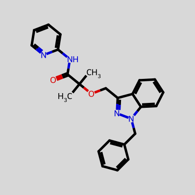 CC(C)(OCc1nn(Cc2ccccc2)c2ccccc12)C(=O)Nc1ccccn1